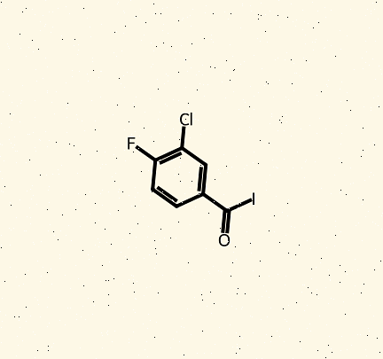 O=C(I)c1ccc(F)c(Cl)c1